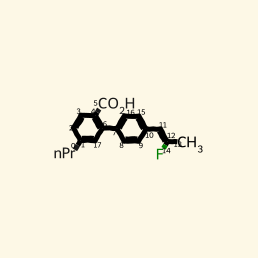 CCCc1ccc(C(=O)O)c(-c2ccc(C=C(C)F)cc2)c1